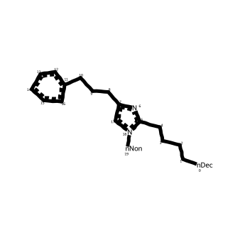 CCCCCCCCCCCCCCc1nc(CCCc2ccccc2)cn1CCCCCCCCC